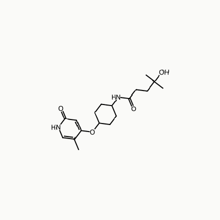 Cc1c[nH]c(=O)cc1OC1CCC(NC(=O)CCC(C)(C)O)CC1